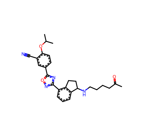 CC(=O)CCCCNC1CCc2c(-c3noc(-c4ccc(OC(C)C)c(C#N)c4)n3)cccc21